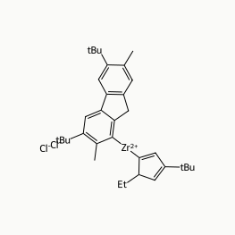 CCC1C=C(C(C)(C)C)C=[C]1[Zr+2][c]1c(C)c(C(C)(C)C)cc2c1Cc1cc(C)c(C(C)(C)C)cc1-2.[Cl-].[Cl-]